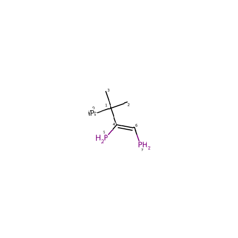 CC(C)C(C)(C)/C(P)=C/P